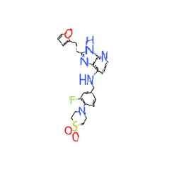 O=S1(=O)CCN(c2ccc(CNc3ccnc4[nH]c(CCc5ccco5)nc34)cc2F)CC1